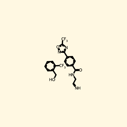 N=CCNC(=O)c1ccc(-c2noc(C(F)(F)F)n2)cc1.OCc1ccccc1C(F)(F)F